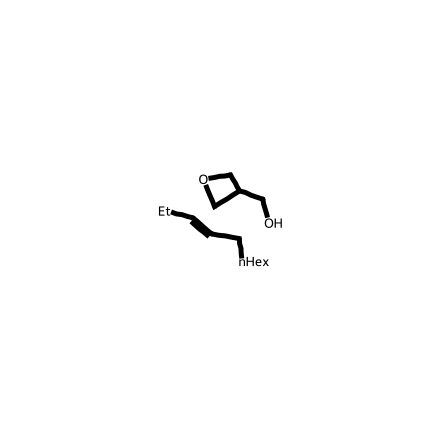 CCC=CCCCCCCC.OCC1COC1